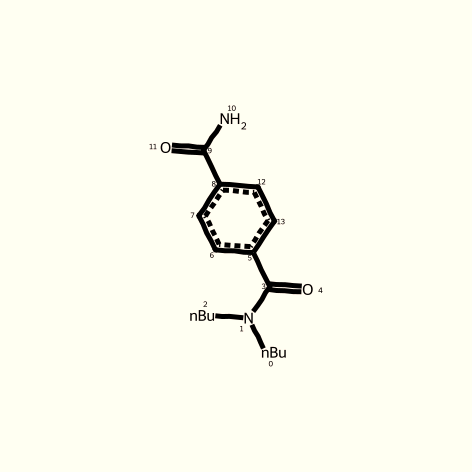 CCCCN(CCCC)C(=O)c1ccc(C(N)=O)cc1